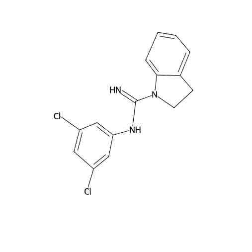 N=C(Nc1cc(Cl)cc(Cl)c1)N1CCc2ccccc21